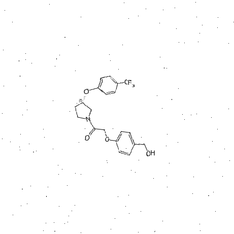 O=C(COc1ccc(CO)cc1)N1CC[C@H](Oc2ccc(C(F)(F)F)cc2)C1